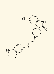 O=C1Nc2ccc(Cl)cc2C12CCN(CCOc1ccc3c(c1)CCCN3)CC2